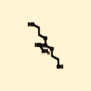 NO.OCCONOCCO